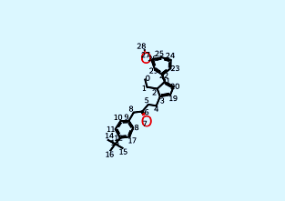 CCC1C(CCC(=O)Cc2ccc(C(C)(C)C)cc2)=CC=C1c1cccc(OC)c1